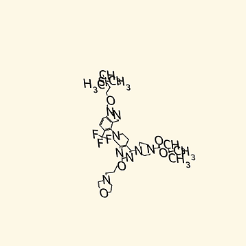 CC(C)(C)OC(=O)N1CCN(c2nc(OCCCN3CCOCC3)nc3c2CCN(c2c(C(F)(F)F)ccc4c2cnn4COCC[Si](C)(C)C)C3)CC1